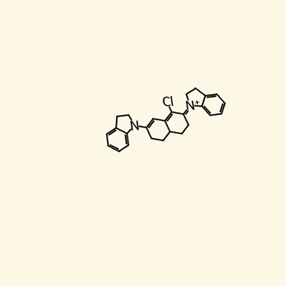 ClC1=C2C=C(N3CCc4ccccc43)CCC2CC/C1=[N+]1/CCc2ccccc21